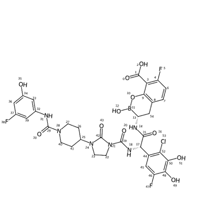 O=C(O)c1c(F)ccc2c1OB(O)[C@@H](NC(=O)[C@@H](NC(=O)N1CCN(C3CCN(C(=O)Nc4cc(O)cc(F)c4)CC3)C1=O)c1cc(F)c(O)c(O)c1Cl)C2